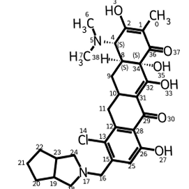 CC1=C(O)[C@@H](N(C)C)[C@@H]2CC3Cc4c(Cl)c(CN5CC6CCCC6C5)cc(O)c4C(=O)C3=C(O)[C@]2(O)C1=O